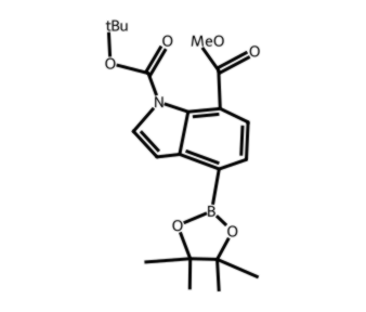 COC(=O)c1ccc(B2OC(C)(C)C(C)(C)O2)c2ccn(C(=O)OC(C)(C)C)c12